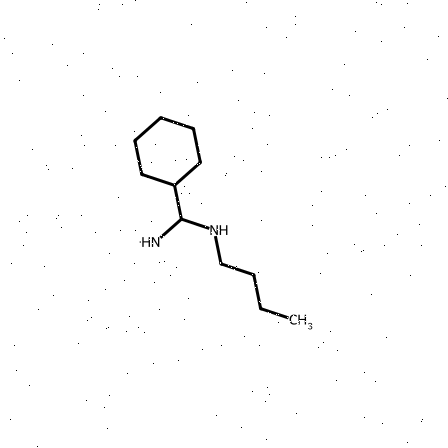 CCCCNC([NH])C1CCCCC1